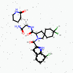 NC(=O)[C@H](C[C@@H]1CCCNC1=O)NC(=O)C1CC2(CCC(F)(F)CC2)CN1C(=O)c1cc2cccc(Cl)c2[nH]1